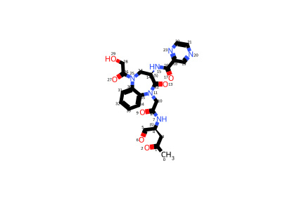 CC(=O)C[C@@H](C=O)NC(=O)CN1C(=O)[C@@H](NC(=O)c2cnccn2)CN(C(=O)CO)c2ccccc21